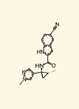 C[C@@H]1C[C@]1(NC(=O)c1cc2cc(C#N)ccc2[nH]1)c1cnn(C)c1